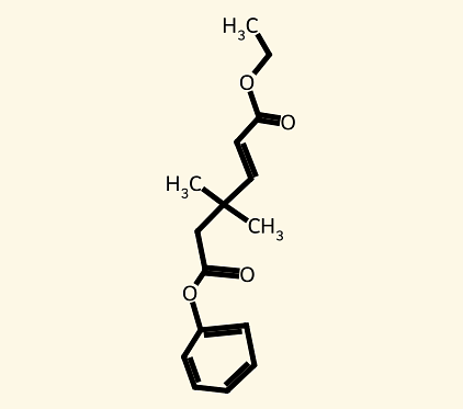 CCOC(=O)/C=C/C(C)(C)CC(=O)Oc1ccccc1